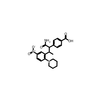 CC(c1cc([N+](=O)[O-])ccc1N1CCCCC1)C(C(N)=O)c1ccc(C(=O)O)cc1